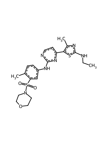 CCNc1nc(C)c(-c2ccnc(Nc3ccc(C)c(S(=O)(=O)N4CCOCC4)c3)n2)s1